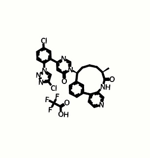 C[C@@H]1CCC[C@H](n2cnc(-c3cc(Cl)ccc3-n3cc(Cl)nn3)cc2=O)c2cccc(c2)-c2ccncc2NC1=O.O=C(O)C(F)(F)F